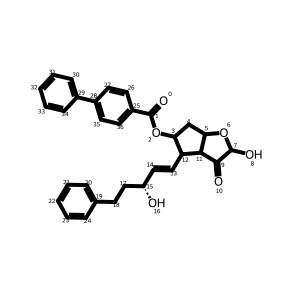 O=C(OC1CC2OC(O)C(=O)C2C1C=C[C@H](O)CCc1ccccc1)c1ccc(-c2ccccc2)cc1